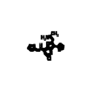 C[C@H](N)Cc1oc2c(NCc3cccs3)cc(Cl)nc2c1-c1cccs1